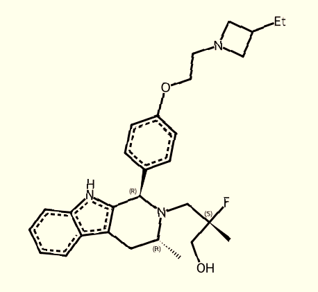 CCC1CN(CCOc2ccc([C@@H]3c4[nH]c5ccccc5c4C[C@@H](C)N3C[C@](C)(F)CO)cc2)C1